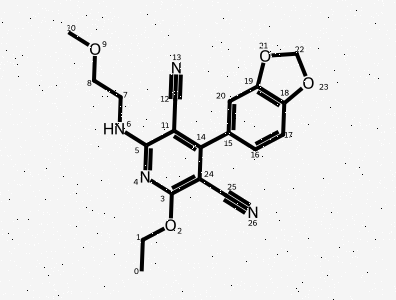 CCOc1nc(NCCOC)c(C#N)c(-c2ccc3c(c2)OCO3)c1C#N